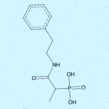 CC(C(=O)NCCc1ccccc1)P(=O)(O)O